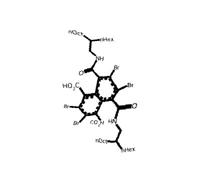 CCCCCCCCC(CCCCCC)CNC(=O)c1c(Br)c(Br)c(C(=O)NCC(CCCCCC)CCCCCCCC)c2c(C(=O)O)c(Br)c(Br)c(C(=O)O)c12